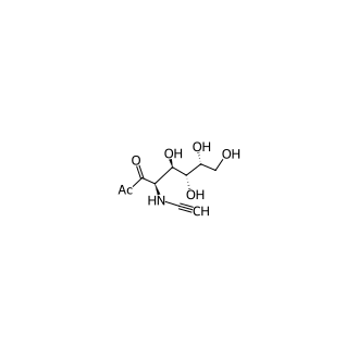 C#CN[C@@H](C(=O)C(C)=O)[C@@H](O)[C@@H](O)[C@H](O)CO